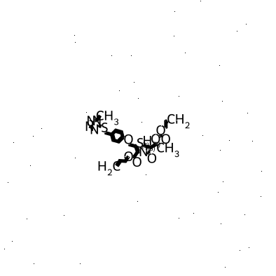 C=CCOC(=O)O[C@H](C)[C@H]1C(=O)N2C(C(=O)OCC=C)=C(COc3ccc(CSc4nnnn4C)cc3)S[C@H]12